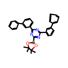 CC1(C)OB(c2nc(-c3cccc(-c4ccccc4)c3)nc(-c3cccc(-c4ccccc4)c3)n2)OC1(C)C